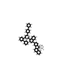 CC1(C)c2ccc(-c3ccc(-c4nc(-c5ccc(-c6ccccc6)cc5)cc(-c5ccccc5-c5ccccc5)n4)c4ccccc34)cc2-c2ccc3ccccc3c21